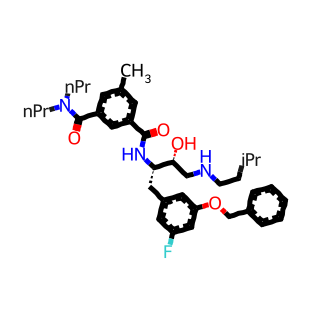 CCCN(CCC)C(=O)c1cc(C)cc(C(=O)N[C@@H](Cc2cc(F)cc(OCc3ccccc3)c2)[C@H](O)CNCCC(C)C)c1